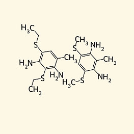 CCSc1cc(C)c(N)c(SCC)c1N.CSc1cc(SC)c(N)c(C)c1N